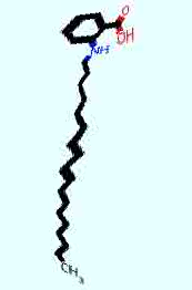 CCCCCCCCC=CCCCCCCCCNc1ccccc1C(=O)O